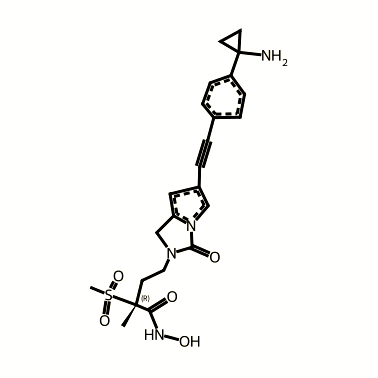 C[C@@](CCN1Cc2cc(C#Cc3ccc(C4(N)CC4)cc3)cn2C1=O)(C(=O)NO)S(C)(=O)=O